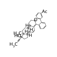 CC#C[C@]1(O)CC[C@H]2[C@@H]3C=CC4=C(c5ccccc5-c5cccc(C(C)=O)c5)C(=O)CC[C@@H]4[C@H]3CC[C@@]21C